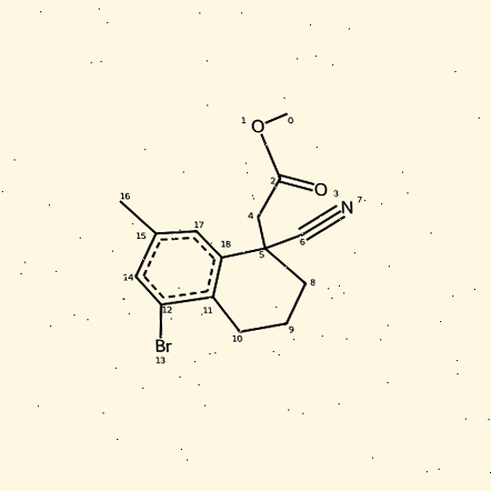 COC(=O)CC1(C#N)CCCc2c(Br)cc(C)cc21